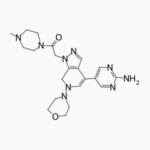 CN1CCN(C(=O)Cn2ncc3c2CN(N2CCOCC2)C=C3c2cnc(N)nc2)CC1